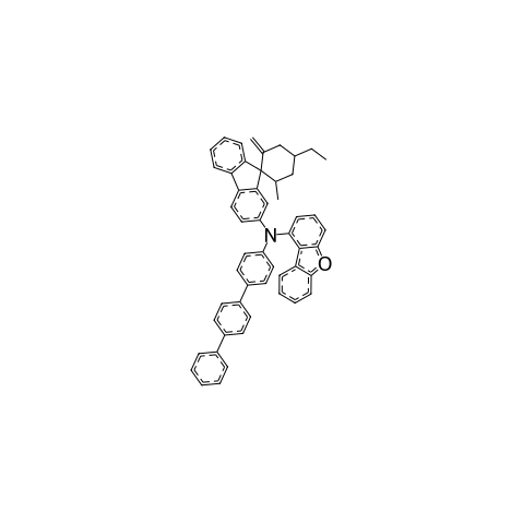 C=C1CC(CC)CC(C)C12c1ccccc1-c1ccc(N(c3ccc(-c4ccc(-c5ccccc5)cc4)cc3)c3cccc4oc5ccccc5c34)cc12